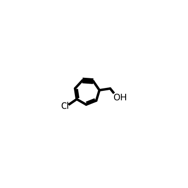 OCC1C#CC=C(Cl)C=C1